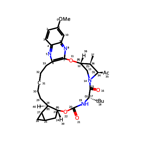 COc1ccc2nc3c(nc2c1)O[C@H]1CN(C(=O)[C@H](C(C)(C)C)NC(=O)O[C@@H]2CC4CC4[C@H]2CCCCC3)[C@H](C(C)=O)[C@@H]1C